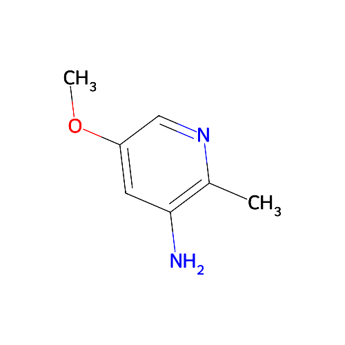 COc1cnc(C)c(N)c1